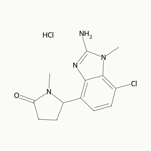 CN1C(=O)CCC1c1ccc(Cl)c2c1nc(N)n2C.Cl